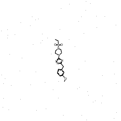 CCS(=O)(=O)N1CCN(c2nc(Cc3cccc(OC)c3)ns2)CC1